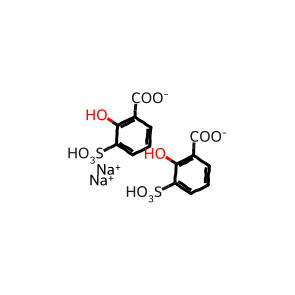 O=C([O-])c1cccc(S(=O)(=O)O)c1O.O=C([O-])c1cccc(S(=O)(=O)O)c1O.[Na+].[Na+]